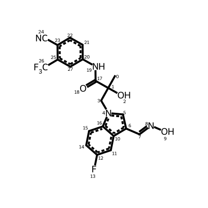 CC(O)(Cn1cc(C=NO)c2cc(F)ccc21)C(=O)Nc1ccc(C#N)c(C(F)(F)F)c1